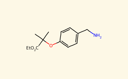 CCOC(=O)C(C)(C)Oc1ccc(CN)cc1